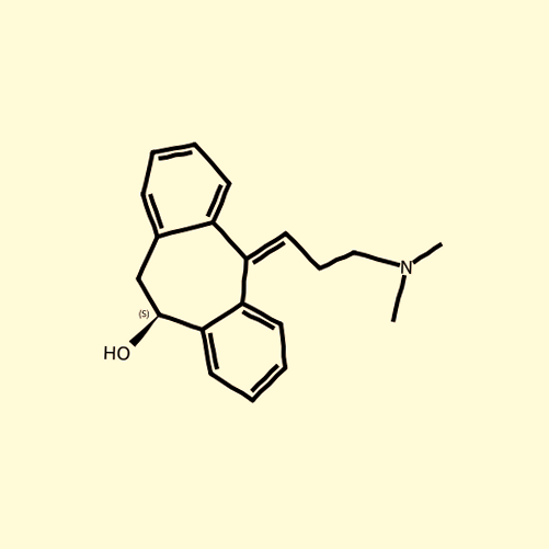 CN(C)CCC=C1c2ccccc2C[C@H](O)c2ccccc21